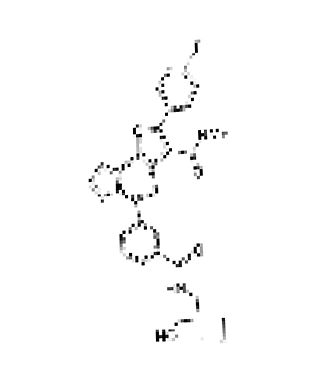 CNC(=O)c1c(-c2ccc(F)cc2)oc2c1cc(-c1cccc(C(=O)NCC3(CO)CCC3)c1)c1[nH]ccc12